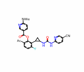 CNc1ccc(C(=O)Oc2c(C(C)=O)ccc(F)c2C2CC2NC(=O)Nc2ccc(C#N)cn2)cn1